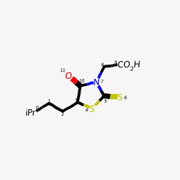 CC(C)CCC1SC(=S)N(CC(=O)O)C1=O